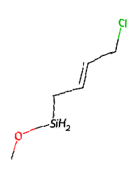 CO[SiH2]CC=CCCl